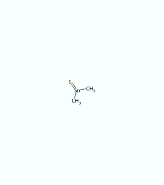 [CH3][Sn]([CH3])=[S]